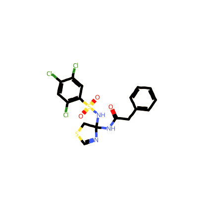 O=C(Cc1ccccc1)NC1(NS(=O)(=O)c2cc(Cl)c(Cl)cc2Cl)CSC=N1